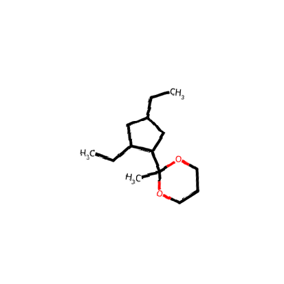 CCC1CC(CC)C(C2(C)OCCCO2)C1